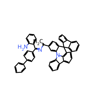 C=C(/N=C(/c1ccc(-c2ccccc2)cc1)c1ccccc1N)c1ccc2c(c1)-n1c3ccccc3c3cccc(c31)C21c2ccccc2-c2ccccc21